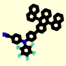 N#Cc1ccc(N(c2ccc(-c3ccc4c(-c5cccc6ccccc56)c5ccccc5c(-c5cccc6ccccc56)c4c3)cc2)c2c(F)c(F)c(F)c(F)c2F)cc1